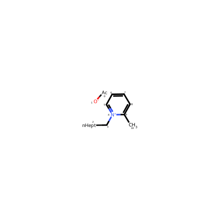 CC(=O)[O-].CCCCCCCC[n+]1ccccc1C